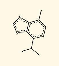 Cc1ccc(C(C)C)c2scnc12